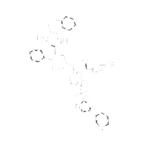 CC(C)(c1ncc(-c2cccnc2)o1)N1CCN(C[C@H](O)C[C@@H](Cc2ccccc2)C(=O)N[C@H]2c3ccccc3OC[C@H]2O)[C@H](C(=O)NCC(F)(F)F)C1